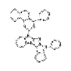 c1ccc(-c2nc(-n3c4ccccc4n4c5c6ccccc6n(-c6ccccc6)c5nc34)nc3c2ccc2ccccc23)cc1